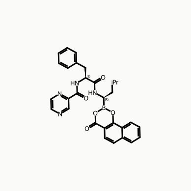 CC(C)C[C@H](NC(=O)[C@H](Cc1ccccc1)NC(=O)c1cnccn1)B1OC(=O)c2ccc3ccccc3c2O1